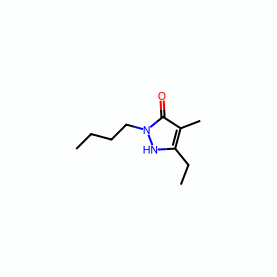 CCCCn1[nH]c(CC)c(C)c1=O